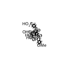 COc1ccc(CNC(=O)c2cc3c(=O)n(Cc4ccc(C(=O)O)cc4)cnc3cn2)cc1.N[C@@H](C=O)[C@@H](O)[C@H](O)[C@H](O)CO